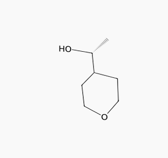 C[C@@H](O)C1CCOCC1